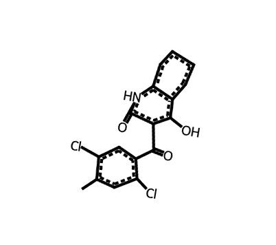 Cc1cc(Cl)c(C(=O)c2c(O)c3ccccc3[nH]c2=O)cc1Cl